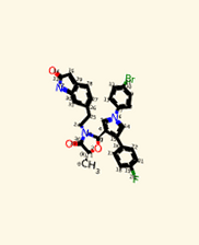 C[C@H]1O[C@H](c2cn(-c3ccc(Br)cc3)cc2-c2ccc(F)cc2)N(CCc2ccc3c(c2)=NC(=O)C=3)C1=O